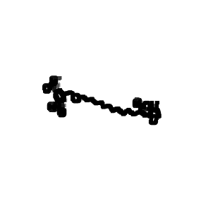 O=C(O)C(=Cc1ccco1)CCCCCCCCCCCCOCc1cc([N+](=O)[O-])cc([N+](=O)[O-])c1